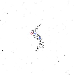 CCCCCCC(C)C(=O)N1CCC2(CCN(CCCC(CCC)CCCCC)CC2)CC1